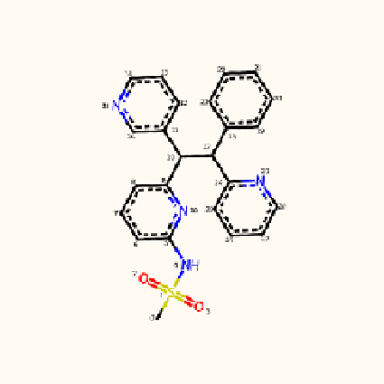 CS(=O)(=O)Nc1cccc(C(c2cccnc2)C(c2ccccc2)c2ccccn2)n1